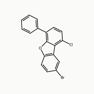 Clc1ccc(-c2ccccc2)c2oc3ccc(Br)cc3c12